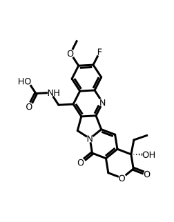 CC[C@@]1(O)C(=O)OCc2c1cc1n(c2=O)Cc2c-1nc1cc(F)c(OC)cc1c2CNC(=O)O